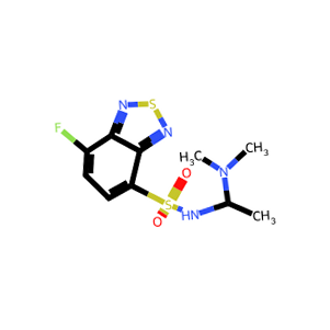 CC(NS(=O)(=O)c1ccc(F)c2nsnc12)N(C)C